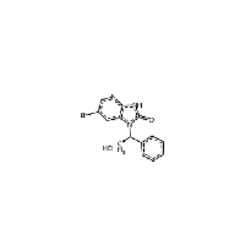 C[C@H](c1ccccc1)n1c(=O)[nH]c2ncc(Br)cc21.Cl